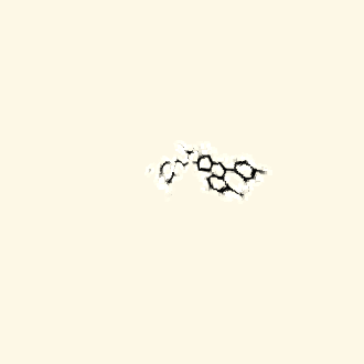 C[C@@H]1CN(CCn2c(=O)[nH]c3cc(/C=C4\c5ccccc5COc5cc(F)ccc54)ccc32)C[C@H](C)O1